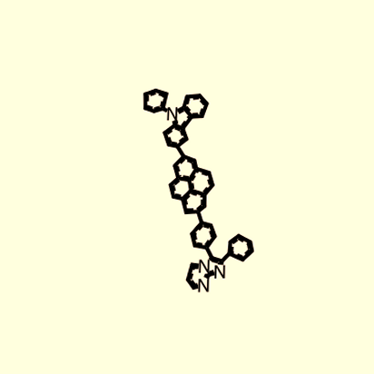 c1ccc(-c2nc3ncccn3c2-c2ccc(-c3cc4ccc5cc(-c6ccc7c(c6)c6ccccc6n7-c6ccccc6)cc6ccc(c3)c4c56)cc2)cc1